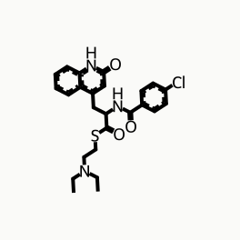 CCN(CC)CCSC(=O)C(Cc1cc(=O)[nH]c2ccccc12)NC(=O)c1ccc(Cl)cc1